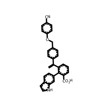 C=C(c1ccc(COc2ccc(C#N)cc2)cc1)c1cccc(C(=O)O)c1-c1ccc2cc[nH]c2c1